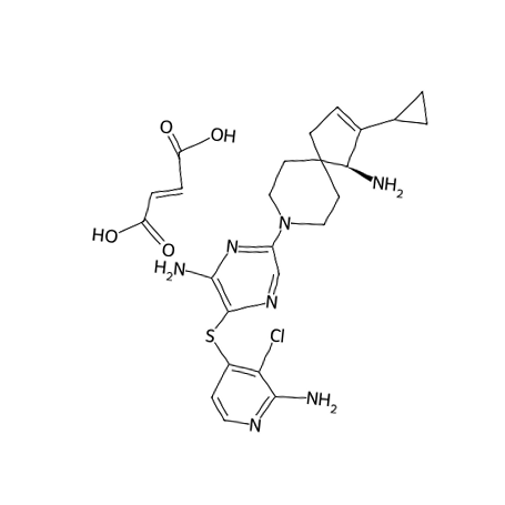 Nc1nc(N2CCC3(CC=C(C4CC4)[C@H]3N)CC2)cnc1Sc1ccnc(N)c1Cl.O=C(O)/C=C/C(=O)O